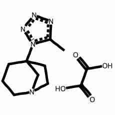 Cc1nnnn1C12CCCN(CC1)C2.O=C(O)C(=O)O